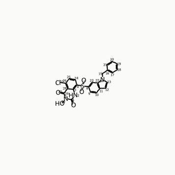 O=c1[nH]c2c(S(=O)(=O)c3ccc4ccn(Cc5ccccc5)c4c3)ccc(Cl)c2c(=O)n1O